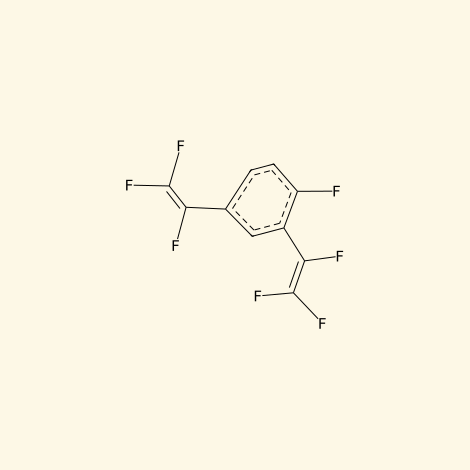 FC(F)=C(F)c1ccc(F)c(C(F)=C(F)F)c1